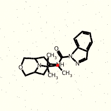 CCC(C)(C)N1C2COCC1CC(NC(=O)n1ncc3ccccc31)C2